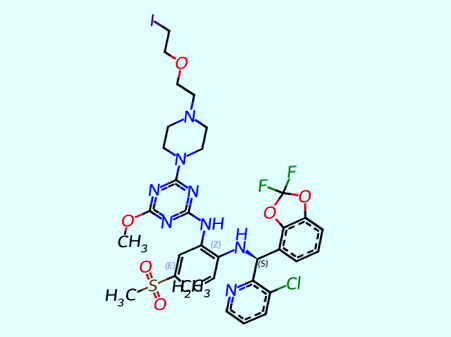 C=C/C(N[C@@H](c1cccc2c1OC(F)(F)O2)c1ncccc1Cl)=C(\C=C(/C)S(C)(=O)=O)Nc1nc(OC)nc(N2CCN(CCOCCI)CC2)n1